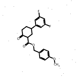 COc1ccc(COC(=O)C2CC(c3cc(F)cc(F)c3)CCC2=O)cc1